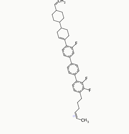 C=CC1CCC(C2CC=C(c3ccc(-c4ccc(-c5ccc(CCC/C=C\C)c(F)c5F)cc4)cc3F)CC2)CC1